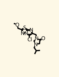 COCc1nn2c(Cl)c(CN3CN(CC(C)C)CC3=O)nc2s1